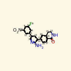 Nc1ncc(-c2cc(F)cc([N+](=O)[O-])c2)cc1-c1ccc2c(c1)CCNC2=O